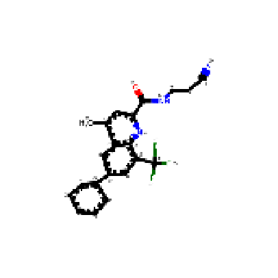 Cc1cc(C(=O)NCCC#N)nc2c(C(F)(F)F)cc(-c3ccccc3)cc12